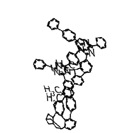 CC1(C)c2cc(-c3ccc(-c4ccc5c(c4)-c4c(-c6ccc7c(c6)C(C)(C)c6cc(-c8nc(-c9ccccc9)nc(-c9ccc(-c%10ccccc%10)cc9)n8)ccc6-7)cccc4C4CC6CC(C4)C5C6)cc3)ccc2-c2ccc(-c3nc(-c4ccccc4)nc(-c4ccc(-c5ccccc5)cc4)n3)cc21